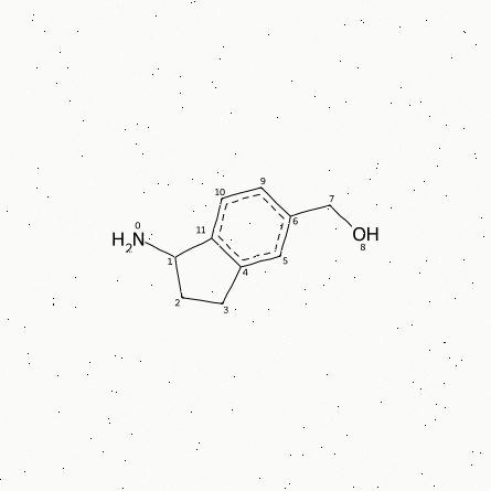 NC1CCc2cc(CO)ccc21